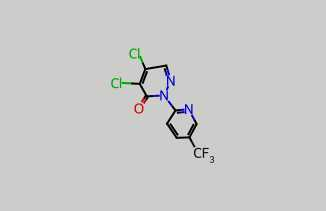 O=c1c(Cl)c(Cl)cnn1-c1ccc(C(F)(F)F)cn1